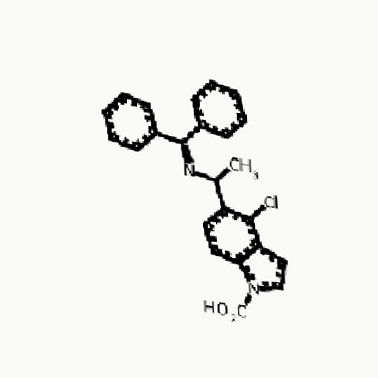 CC(N=C(c1ccccc1)c1ccccc1)c1ccc2c(ccn2C(=O)O)c1Cl